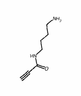 C#CC(=O)NCCCCN